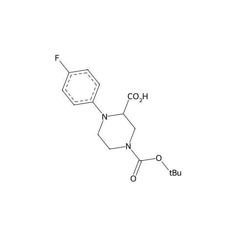 CC(C)(C)OC(=O)N1CCN(c2ccc(F)cc2)C(C(=O)O)C1